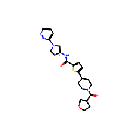 O=C(N[C@H]1CCN(c2cccnn2)C1)c1ccc(C2CCN(C(=O)C3CCOC3)CC2)s1